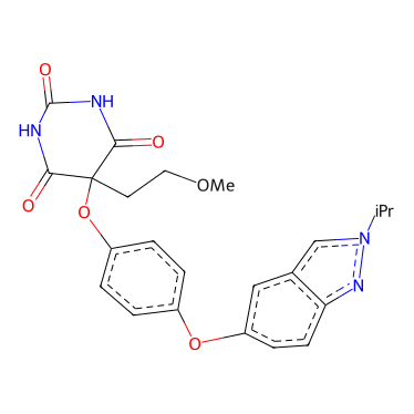 COCCC1(Oc2ccc(Oc3ccc4nn(C(C)C)cc4c3)cc2)C(=O)NC(=O)NC1=O